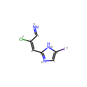 N=C/C(Cl)=C\c1ncc(I)[nH]1